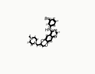 CN1CCN(CC2COc3cc4ncnc(Nc5cccc(Br)c5)c4cc3O2)CC1